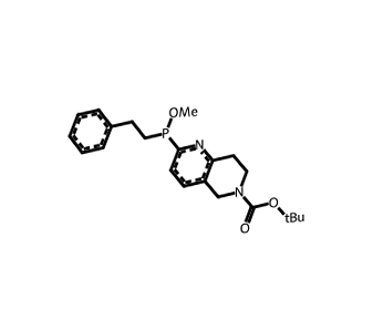 COP(CCc1ccccc1)c1ccc2c(n1)CCN(C(=O)OC(C)(C)C)C2